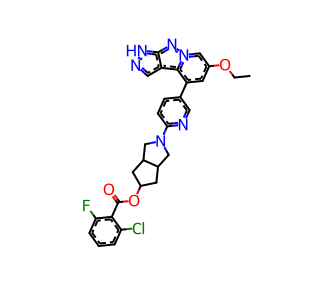 CCOc1cc(-c2ccc(N3CC4CC(OC(=O)c5c(F)cccc5Cl)CC4C3)nc2)c2c3cn[nH]c3nn2c1